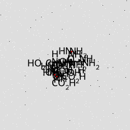 CC(C)[C@H](NC(=O)[C@H](CO)NC(=O)[C@H](CC(=O)O)NC(=O)[C@H](C)NC(=O)[C@H](Cc1ccc(O)cc1)NC(=O)[C@H](CCCNC(=N)N)NC(=O)[C@@H](N)CCCNC(=N)N)C(=O)N[C@@H](CCC(=O)O)C(=O)NCC(=O)O